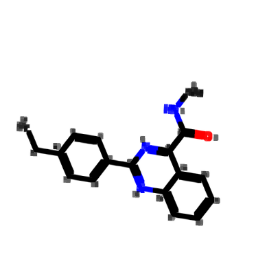 CCCCNC(=O)c1nc(-c2ccc(CC(C)C)cc2)nc2ccccc12